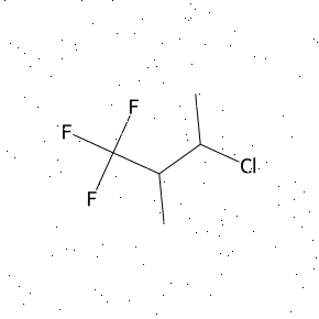 CC(Cl)C(C)C(F)(F)F